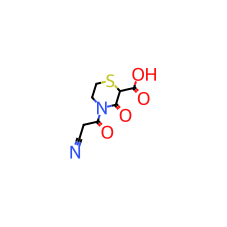 N#CCC(=O)N1CCSC(C(=O)O)C1=O